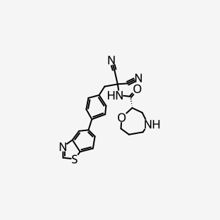 N#CC(C#N)(Cc1ccc(-c2ccc3scnc3c2)cc1)NC(=O)[C@@H]1CNCCCO1